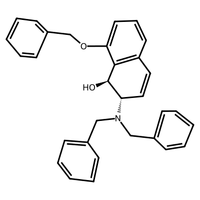 O[C@H]1c2c(cccc2OCc2ccccc2)C=C[C@@H]1N(Cc1ccccc1)Cc1ccccc1